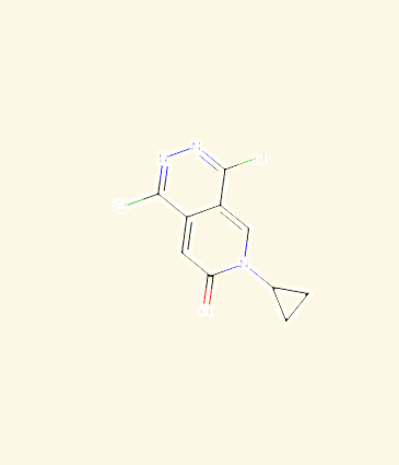 O=c1cc2c(Cl)nnc(Cl)c2cn1C1CC1